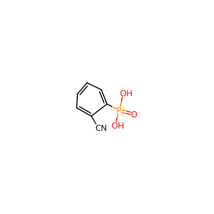 N#Cc1ccccc1P(=O)(O)O